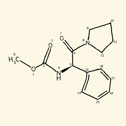 COC(=O)N[C@@H](C(=O)N1CCCC1)c1ccccc1